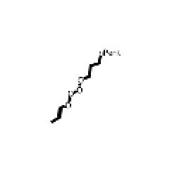 CC=COOOOCCCCCCCC